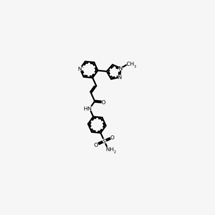 Cn1cc(-c2ccncc2/C=C/C(=O)Nc2ccc(S(N)(=O)=O)cc2)cn1